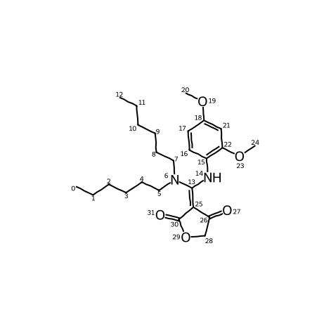 CCCCCCN(CCCCCC)/C(Nc1ccc(OC)cc1OC)=C1/C(=O)COC1=O